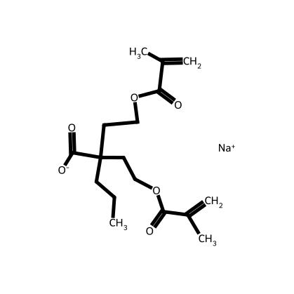 C=C(C)C(=O)OCCC(CCC)(CCOC(=O)C(=C)C)C(=O)[O-].[Na+]